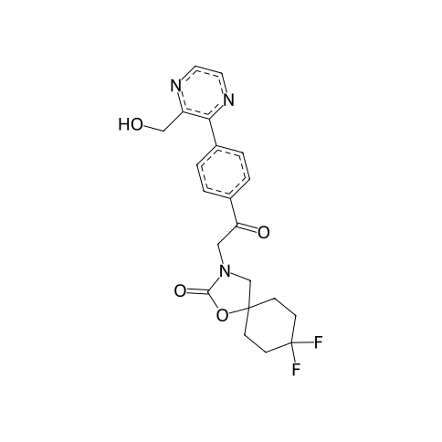 O=C(CN1CC2(CCC(F)(F)CC2)OC1=O)c1ccc(-c2nccnc2CO)cc1